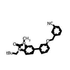 Cn1c(=O)n(CC(C)(C)C)c2ccc(-c3cccc(OCc4cccc(C#N)c4)c3)cc21